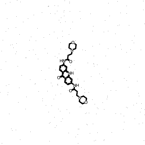 O=C(CCN1CCOCC1)Nc1ccc2c(=O)c3ccc(NC(=O)CCN4CCOCC4)cc3[nH]c2c1